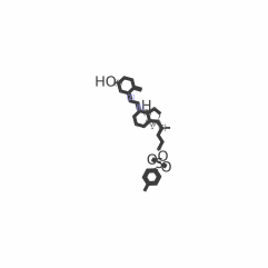 C=C1CC[C@H](O)C/C1=C/C=C1\CCC[C@]2(C)[C@@H]([C@@H](C)CCCOS(=O)(=O)c3ccc(C)cc3)CC[C@@H]12